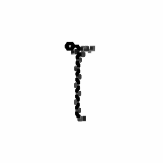 C#CCOCCOCCOCCOCCOCCOCCOCC(=O)N[C@@H](Cc1ccccc1)C(=O)O